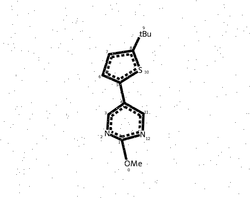 COc1ncc(-c2ccc(C(C)(C)C)s2)cn1